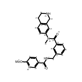 COc1ccc(C(=O)NCc2cccc(C(=O)N(C)c3ccc4c(c3)CNCC4)c2)cn1